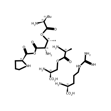 CC[C@H](C)[C@H](N)C(=O)O[C@H](C)[C@H](N)C(=O)OC(=O)[C@@H]1CCCN1.C[C@H](N)C(=O)OC[C@H](N)C(=O)O.N=C(N)NCCC[C@H](N)C(=O)O